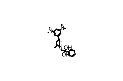 CC(CCc1cc(N(C)C)cc(N(C)C)c1)NCC(O)(O)c1ccccc1